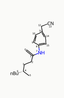 C=C(CC[C@H](C)CCCC)Nc1ccc(CC#N)cc1